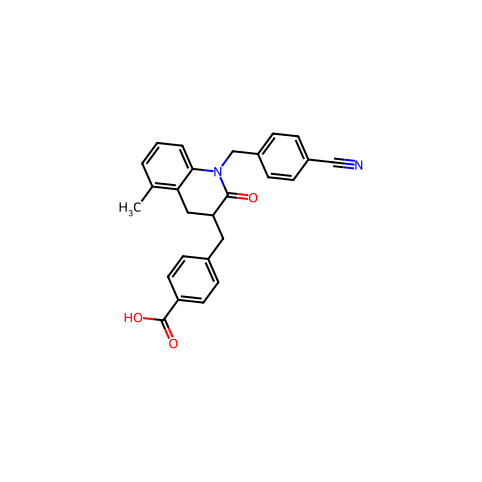 Cc1cccc2c1CC(Cc1ccc(C(=O)O)cc1)C(=O)N2Cc1ccc(C#N)cc1